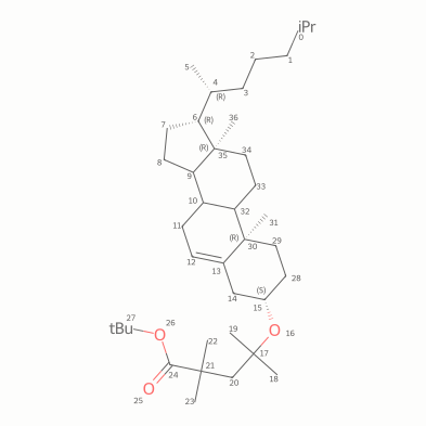 CC(C)CCC[C@@H](C)[C@H]1CCC2C3CC=C4C[C@@H](OC(C)(C)CC(C)(C)C(=O)OC(C)(C)C)CC[C@]4(C)C3CC[C@@]21C